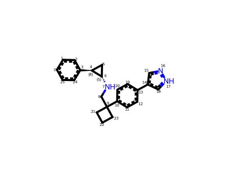 c1ccc([C@H]2C[C@@H]2NCC2(c3ccc(-c4cn[nH]c4)cc3)CCC2)cc1